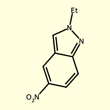 CCn1cc2cc([N+](=O)[O-])ccc2n1